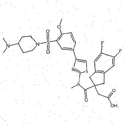 COc1ccc(-c2csc(N(C)C(=O)C3(CC(=O)O)Cc4cc(F)c(F)cc4C3)n2)cc1S(=O)(=O)N1CCC(N(C)C)CC1